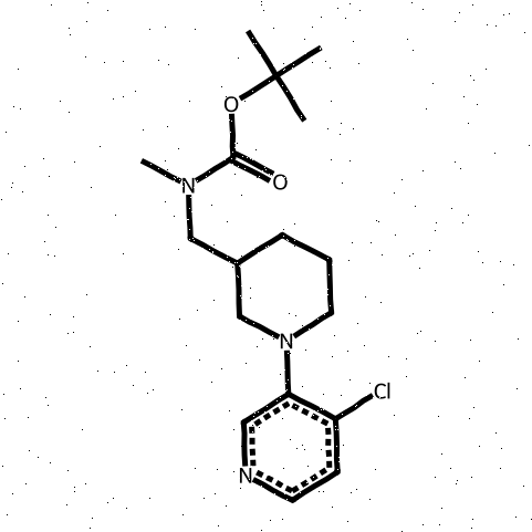 CN(CC1CCCN(c2cnccc2Cl)C1)C(=O)OC(C)(C)C